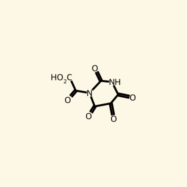 O=C(O)C(=O)N1C(=O)NC(=O)C(=O)C1=O